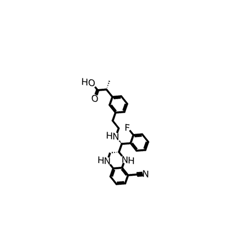 C[C@@H](C(=O)O)c1cccc(CCN[C@H](c2ccccc2F)[C@H]2CNc3cccc(C#N)c3N2)c1